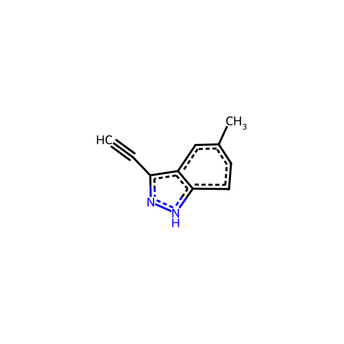 C#Cc1n[nH]c2ccc(C)cc12